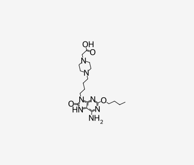 CCCCOc1nc(N)c2[nH]c(=O)n(CCCCN3CCN(CC(=O)O)CC3)c2n1